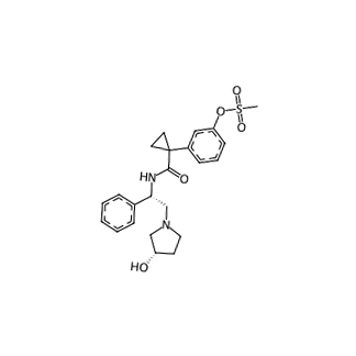 CS(=O)(=O)Oc1cccc(C2(C(=O)N[C@H](CN3CC[C@H](O)C3)c3ccccc3)CC2)c1